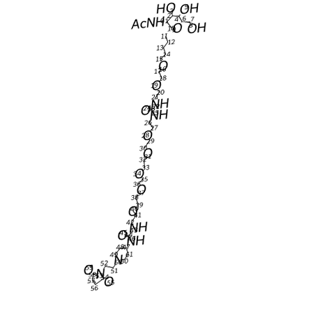 CC(=O)N[C@@H]1[C@@H](O)[C@@H](O)[C@@H](CO)O[C@@H]1CCCCCOCCOCCNC(=O)NCCOCCOCCOCCOCCOCCNC(=O)NC1CCN(CCN2C(=O)C=CC2=O)CC1